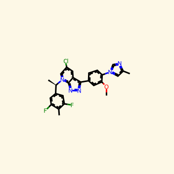 COc1cc(-c2nnc3n([C@H](C)c4cc(F)c(C)c(F)c4)cc(Cl)cc2-3)ccc1-n1cnc(C)c1